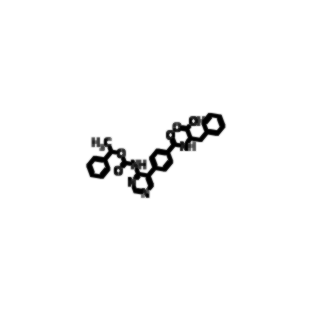 CC(OC(=O)Nc1ncncc1-c1ccc(C(=O)NC(Cc2ccccc2)C(=O)O)cc1)c1ccccc1